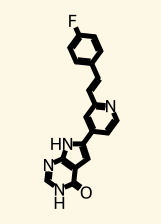 O=c1[nH]cnc2[nH]c(-c3ccnc(/C=C/c4ccc(F)cc4)c3)cc12